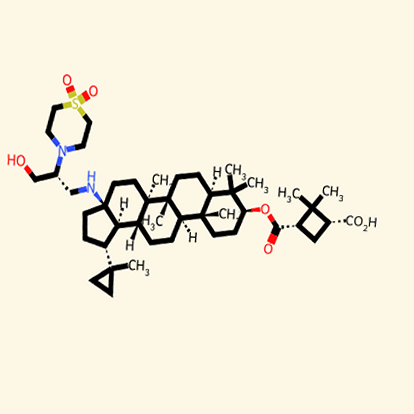 CC1([C@@H]2CC[C@]3(NC[C@H](CO)N4CCS(=O)(=O)CC4)CC[C@]4(C)[C@H](CC[C@@H]5[C@@]6(C)CC[C@H](OC(=O)[C@H]7C[C@@H](C(=O)O)C7(C)C)C(C)(C)[C@@H]6CC[C@]54C)[C@@H]23)CC1